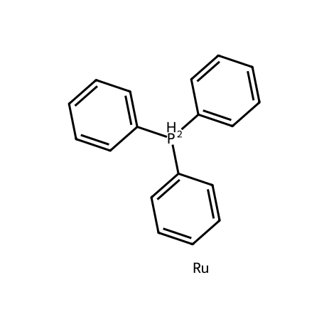 [Ru].c1ccc([PH2](c2ccccc2)c2ccccc2)cc1